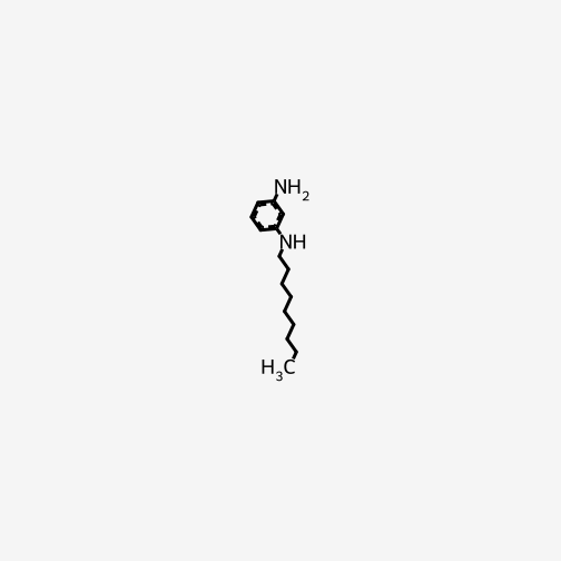 CCCCCCCCCNc1cccc(N)c1